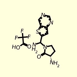 NC(c1cc2ncncc2s1)N1CC[C@H](N)C1=O.O=C(O)C(F)(F)F